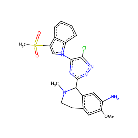 COc1cc2c(cc1N)C(c1nnc(Cl)c(-n3cc(S(C)(=O)=O)c4ccccc43)n1)N(C)CC2